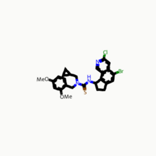 COc1ccc(CN(CC2CC2)C(=S)NC2CCc3cc(Br)c4cc(Cl)ncc4c32)c(OC)c1